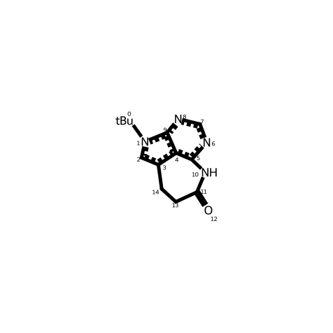 CC(C)(C)n1cc2c3c(ncnc31)NC(=O)CC2